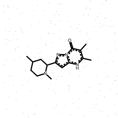 Cc1[nH]c2cc(C3CC(C)CCN3C)nn2c(=O)c1C